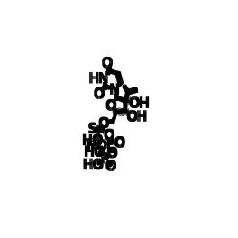 C=C(C)[C@]1(O)C(n2ccc(=O)[nH]c2=O)O[C@H](CO[P@](O)(=S)OP(=O)(O)OP(=O)(O)O)[C@H]1O